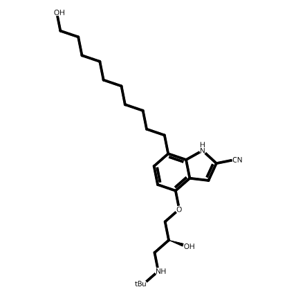 CC(C)(C)NC[C@H](O)COc1ccc(CCCCCCCCCCO)c2[nH]c(C#N)cc12